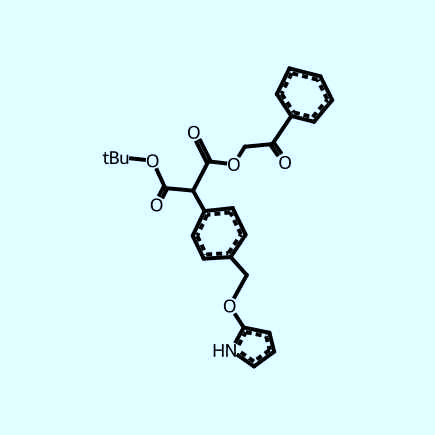 CC(C)(C)OC(=O)C(C(=O)OCC(=O)c1ccccc1)c1ccc(COc2ccc[nH]2)cc1